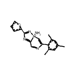 Cc1cc(C)c(C2=C[N+]3(N)N=C(c4ccco4)N=C3C=N2)c(C)c1